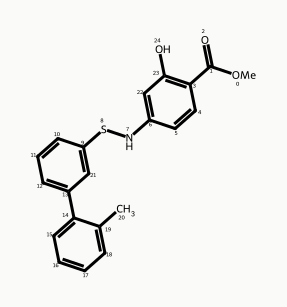 COC(=O)c1ccc(NSc2cccc(-c3ccccc3C)c2)cc1O